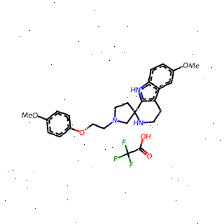 COc1ccc(OCCN2CCC3(C2)NCCc2c3[nH]c3ccc(OC)cc23)cc1.O=C(O)C(F)(F)F